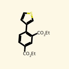 CCOC(=O)c1ccc(-c2ccsc2)c(C(=O)OCC)c1